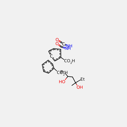 CCC(C)(O)CC(O)C(C)C.N=C=O.N=C=O.O=C(O)c1ccccc1.O=C(O)c1ccccc1